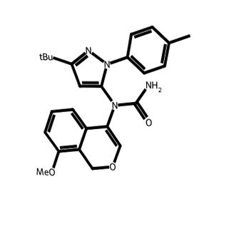 COc1cccc2c1COC=C2N(C(N)=O)c1cc(C(C)(C)C)nn1-c1ccc(C)cc1